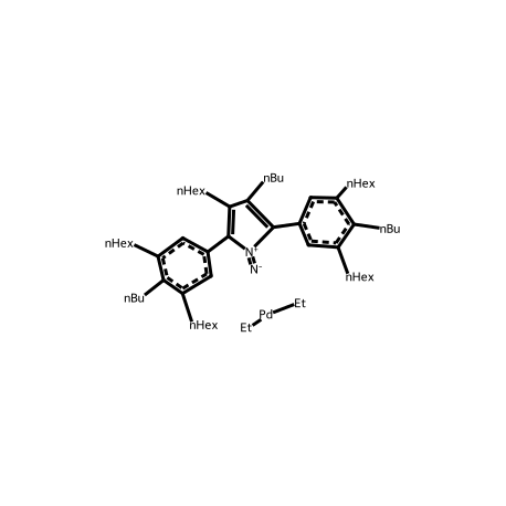 CCCCCCC1=C(c2cc(CCCCCC)c(CCCC)c(CCCCCC)c2)[N+](=[N-])C(c2cc(CCCCCC)c(CCCC)c(CCCCCC)c2)=C1CCCC.C[CH2][Pd][CH2]C